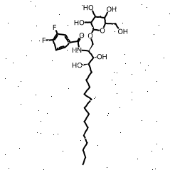 CCCCCCCCCCCCCC[C@@H](O)[C@@H](O)[C@H](COC1OC(CO)C(O)C(O)C1O)NC(=O)c1ccc(F)c(F)c1